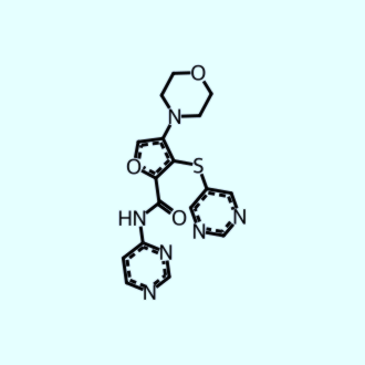 O=C(Nc1ccncn1)c1occ(N2CCOCC2)c1Sc1cncnc1